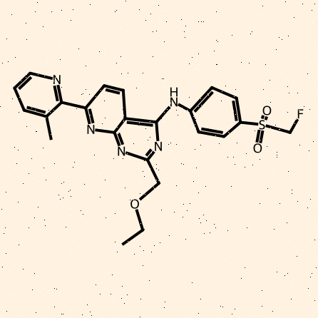 CCOCc1nc(Nc2ccc(S(=O)(=O)CF)cc2)c2ccc(-c3ncccc3C)nc2n1